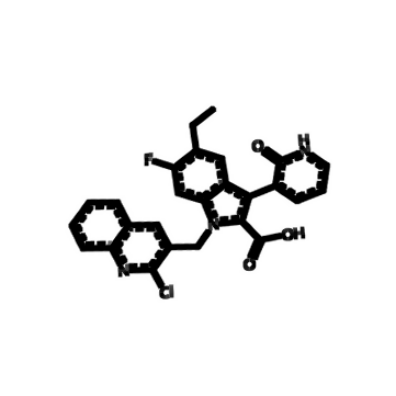 CCc1cc2c(-c3ccc[nH]c3=O)c(C(=O)O)n(Cc3cc4ccccc4nc3Cl)c2cc1F